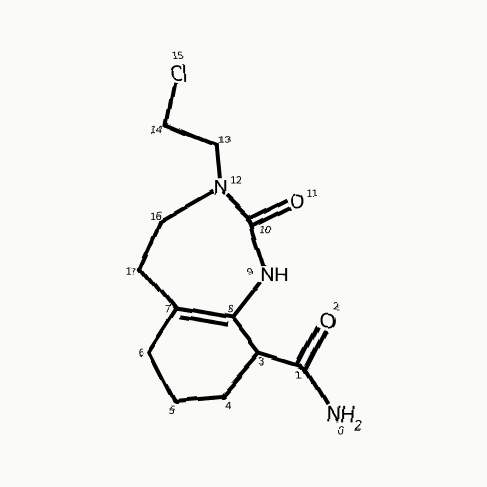 NC(=O)C1CCCC2=C1NC(=O)N(CCCl)CC2